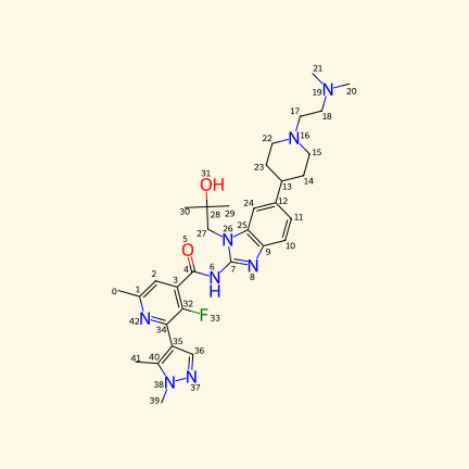 Cc1cc(C(=O)Nc2nc3ccc(C4CCN(CCN(C)C)CC4)cc3n2CC(C)(C)O)c(F)c(-c2cnn(C)c2C)n1